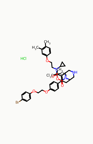 Cc1ccc(OCCN(C(=O)C2=C(c3ccc(OCCOc4ccc(Br)cc4)cc3)CC3CNCC2N3C(=O)OC(C)(C)C(Cl)(Cl)Cl)C2CC2)cc1C.Cl